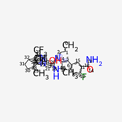 C=C/C=N\C(=C\c1ccc(F)c(C(N)=O)c1)[C@H](C)NC(O)Cn1nc(C(F)(F)F)c2c1C1(C)CCC2C1(C)C